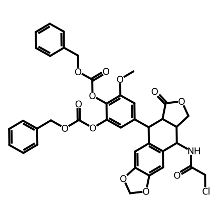 COc1cc(C2c3cc4c(cc3C(NC(=O)CCl)C3COC(=O)C23)OCO4)cc(OC(=O)OCc2ccccc2)c1OC(=O)OCc1ccccc1